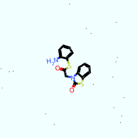 Nc1ccccc1SC(=O)Cn1c(=O)sc2ccccc21